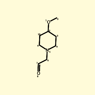 COC1CCN(CC=O)CC1